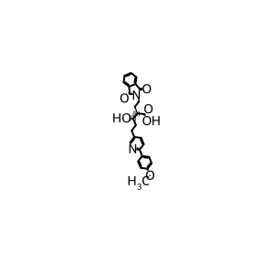 COc1ccc(-c2ccc(CC[C@@H](O)[C@@H](CCN3C(=O)c4ccccc4C3=O)C(=O)O)cn2)cc1